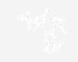 Cc1ccc(-n2c(-c3cc(F)c(S(C)(=O)=O)cc3F)coc2=O)cc1C(F)(F)F